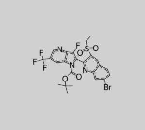 CCS(=O)(=O)c1cc2ccc(Br)cc2nc1-c1c(F)c2ncc(C(F)(F)F)cc2n1C(=O)OC(C)(C)C